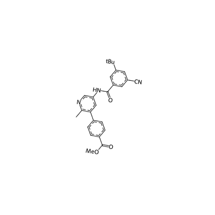 COC(=O)c1ccc(-c2cc(NC(=O)c3cc(C#N)cc(C(C)(C)C)c3)cnc2C)cc1